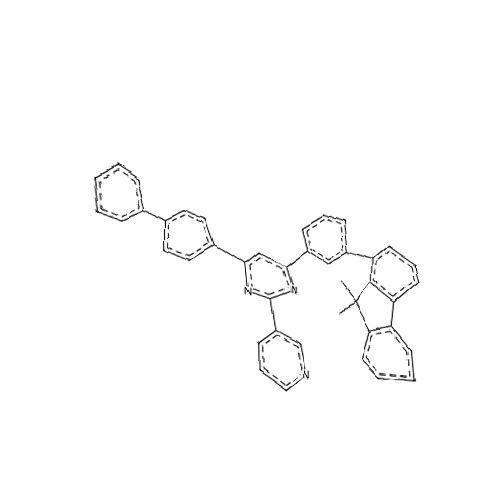 CC1(C)c2ccccc2-c2cccc(-c3cccc(-c4cc(-c5ccc(-c6ccccc6)cc5)nc(-c5cccnc5)n4)c3)c21